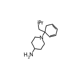 CC(C)CC1(N2CCC(N)CC2)C=CC=CC1